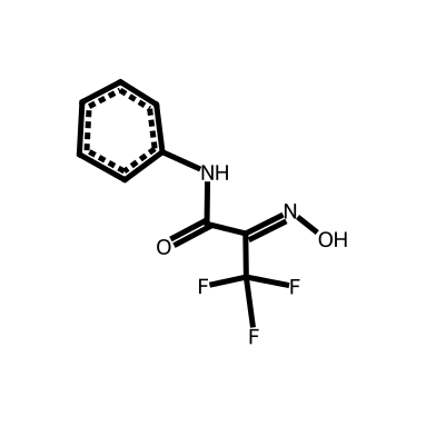 O=C(Nc1ccccc1)C(=NO)C(F)(F)F